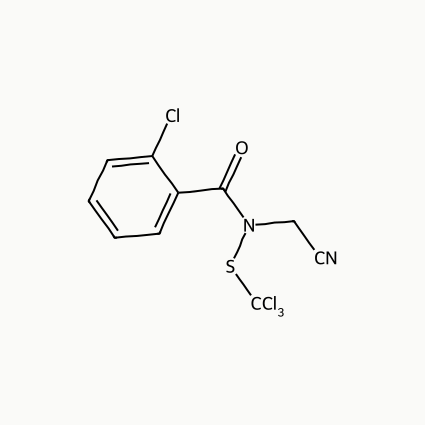 N#CCN(SC(Cl)(Cl)Cl)C(=O)c1ccccc1Cl